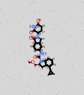 COC[C@@H]1Cc2c(C3CC3)cccc2N1C(=O)Nc1ccc2c(c1)CN(C1CCC(=O)NC1=O)C2=O